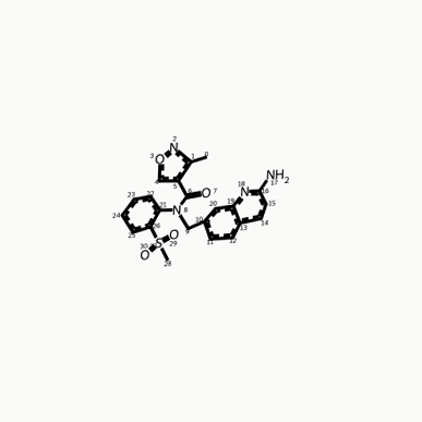 Cc1nocc1C(=O)N(Cc1ccc2ccc(N)nc2c1)c1ccccc1S(C)(=O)=O